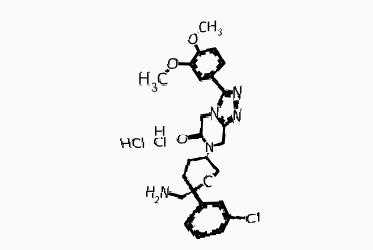 COc1ccc(-c2nnc3n2CC(=O)N([C@H]2CC[C@@](CN)(c4cccc(Cl)c4)CC2)C3)cc1OC.Cl.Cl